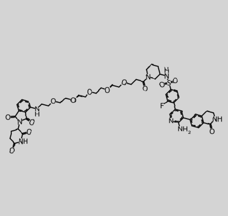 Nc1ncc(-c2ccc(S(=O)(=O)NC3CCCN(C(=O)CCOCCOCCOCCOCCOCCNc4cccc5c4C(=O)N(C4CCC(=O)NC4=O)C5=O)C3)cc2F)cc1-c1ccc2c(c1)CCNC2=O